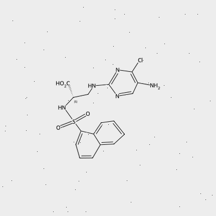 Nc1cnc(NC[C@H](NS(=O)(=O)c2cccc3ccccc23)C(=O)O)nc1Cl